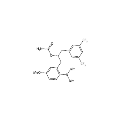 CCCN(CCC)c1ccc(OC)cc1CC(Cc1cc(C(F)(F)F)cc(C(F)(F)F)c1)OC(N)=O